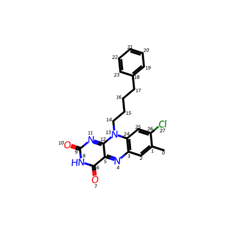 Cc1cc2nc3c(=O)[nH]c(=O)nc-3n(CCCCc3ccccc3)c2cc1Cl